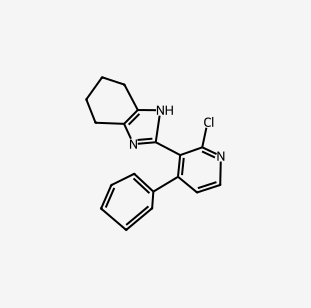 Clc1nccc(-c2ccccc2)c1-c1nc2c([nH]1)CCCC2